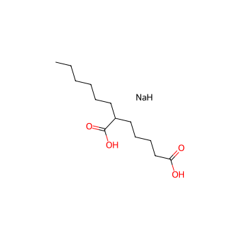 CCCCCCC(CCCCC(=O)O)C(=O)O.[NaH]